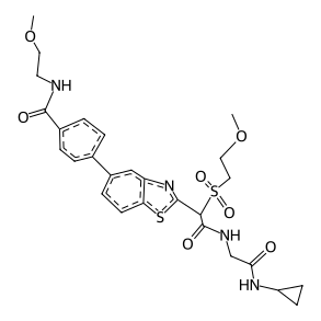 COCCNC(=O)c1ccc(-c2ccc3sc(C(C(=O)NCC(=O)NC4CC4)S(=O)(=O)CCOC)nc3c2)cc1